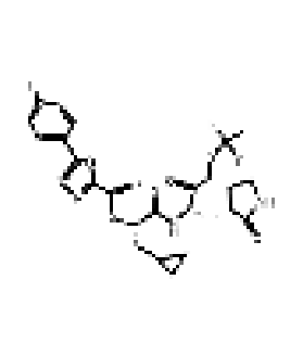 CC(F)(F)OCC(=O)[C@H](C[C@@H]1CCNC1=O)NC(=O)[C@H](CC1CC1)NC(=O)c1nnc(-c2ccc(F)cc2)o1